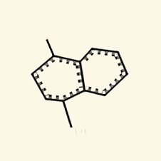 Cc1ccc(C(C)(C)C)c2ccccc12